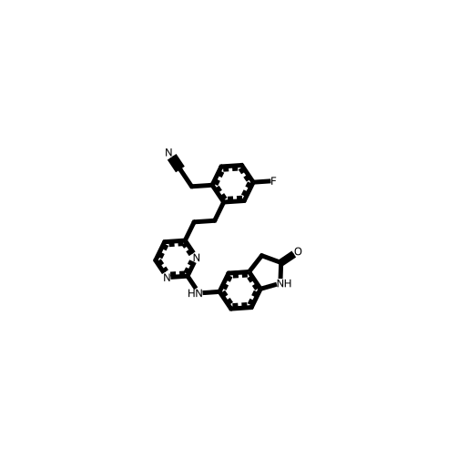 N#CCc1ccc(F)cc1CCc1ccnc(Nc2ccc3c(c2)CC(=O)N3)n1